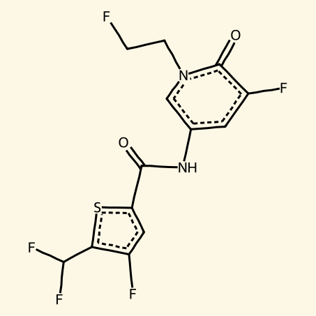 O=C(Nc1cc(F)c(=O)n(CCF)c1)c1cc(F)c(C(F)F)s1